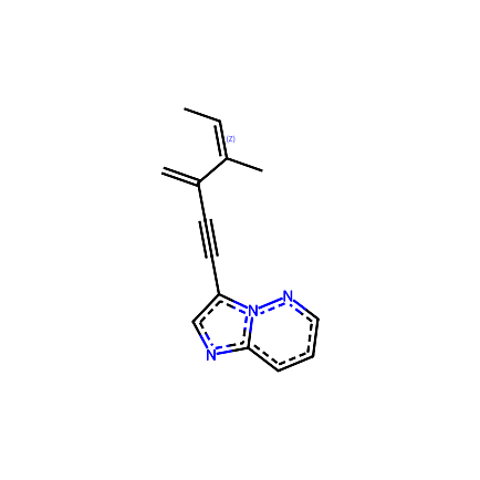 C=C(C#Cc1cnc2cccnn12)/C(C)=C\C